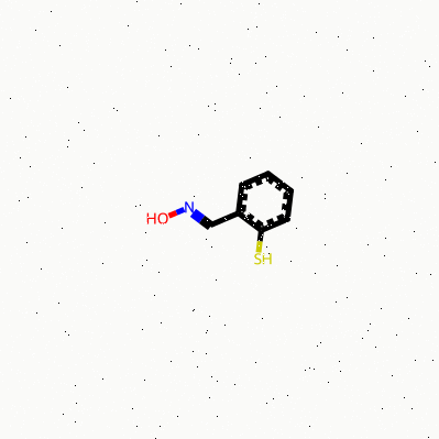 ON=Cc1ccccc1S